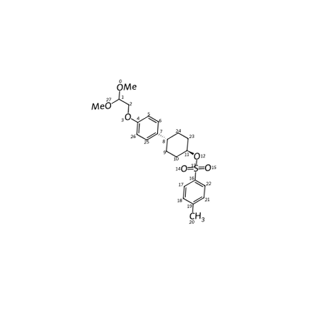 COC(COc1ccc([C@H]2CC[C@H](OS(=O)(=O)c3ccc(C)cc3)CC2)cc1)OC